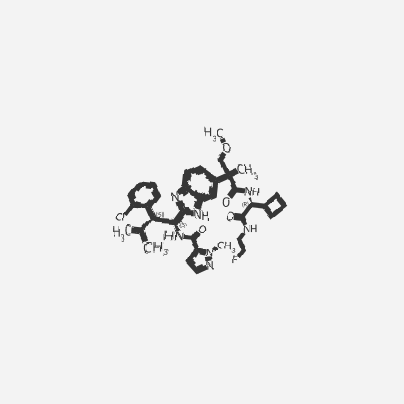 COCC(C)(C(=O)N[C@@H](C(=O)NCCF)C1CCC1)c1ccc2nc([C@@H](NC(=O)c3ccnn3C)[C@H](c3ccccc3Cl)C(C)C)[nH]c2c1